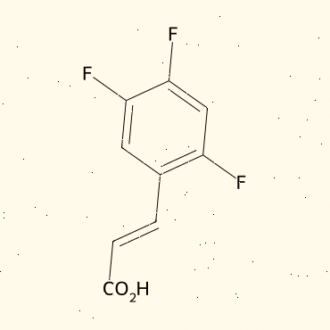 O=C(O)C=Cc1cc(F)c(F)cc1F